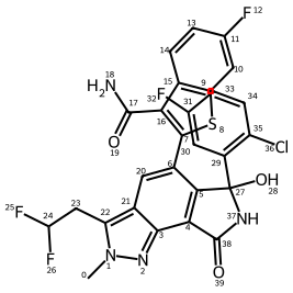 Cn1nc2c3c(c(-c4sc5cc(F)ccc5c4C(N)=O)cc2c1CC(F)F)C(O)(c1cc(F)ccc1Cl)NC3=O